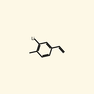 [Li][c]1cc(C=C)ccc1C